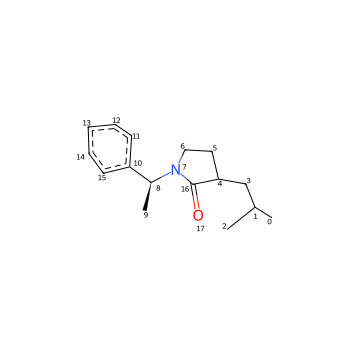 CC(C)CC1CCN([C@@H](C)c2ccccc2)C1=O